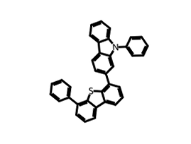 c1ccc(-c2cccc3c2sc2c(-c4ccc5c6ccccc6n(-c6ccccc6)c5c4)cccc23)cc1